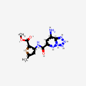 COC(=O)c1sc(C)cc1NC(=O)c1cc(N)c2nnnn2n1